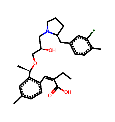 CCC(=Cc1ccc(C)cc1[C@@H](C)OC[C@H](O)CN1CCC[C@H]1Cc1ccc(C)c(F)c1)C(=O)O